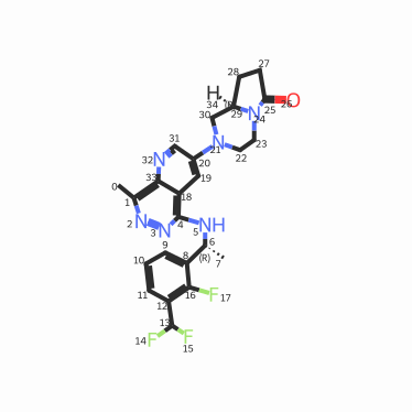 Cc1nnc(N[C@H](C)c2cccc(C(F)F)c2F)c2cc(N3CCN4C(=O)CC[C@@H]4C3)cnc12